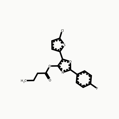 CCCC(=O)Oc1nc(-c2ccc(F)cc2)oc1-c1ccc(Cl)s1